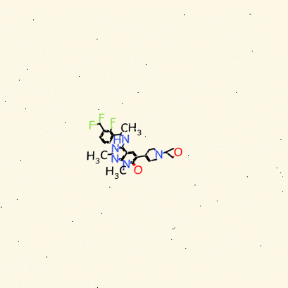 Cc1nc(N[C@H](C)c2cccc(C(F)F)c2F)c2cc(C3=CCN(C4COC4)CC3)c(=O)n(C)c2n1